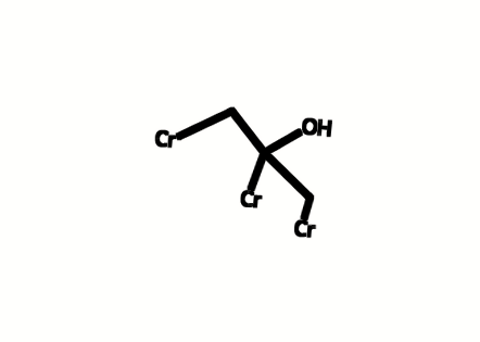 O[C]([Cr])([CH2][Cr])[CH2][Cr]